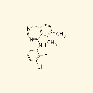 Cc1ccc2c(c1C)C(Nc1cccc(Cl)c1F)=NC=NC2